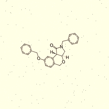 O=C1[C@H]2c3cc(OCc4ccccc4)ccc3CO[C@@H]2CN1Cc1ccccc1